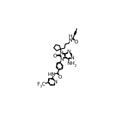 CC#CC(=O)NCCCC1(n2c(=O)n(-c3ccc(C(=O)Nc4cc(C(F)(F)F)ccn4)cc3)c3c(N)ncnc32)CCCC1